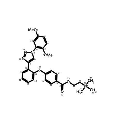 COc1ccc(OC)c(-n2cc(-c3ccccc3Sc3ccc(C(=O)OCC[N+](C)(C)C)cc3)nn2)c1